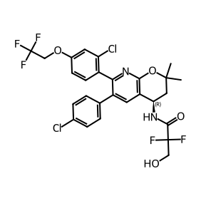 CC1(C)C[C@@H](NC(=O)C(F)(F)CO)c2cc(-c3ccc(Cl)cc3)c(-c3ccc(OCC(F)(F)F)cc3Cl)nc2O1